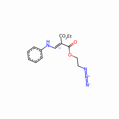 CCOC(=O)/C(=C\Nc1ccccc1)C(=O)OCCN=[N+]=[N-]